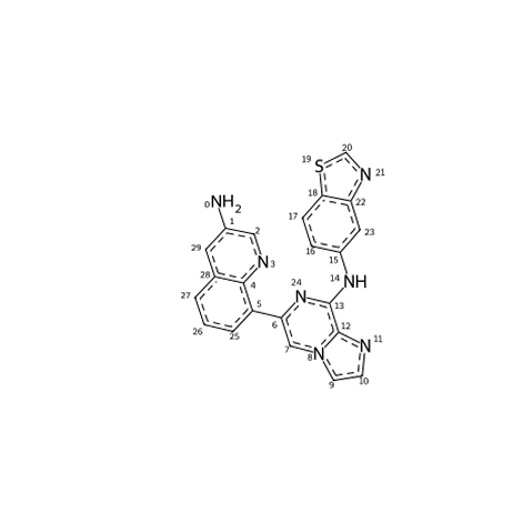 Nc1cnc2c(-c3cn4ccnc4c(Nc4ccc5scnc5c4)n3)cccc2c1